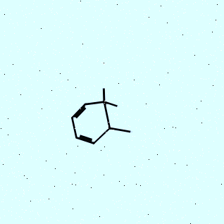 CCCCCCCCCCC1C=CC=CC1(O)CCCCCCCCCC